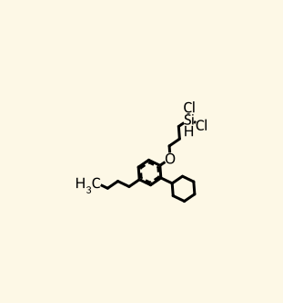 CCCCc1ccc(OCCC[SiH](Cl)Cl)c(C2CCCCC2)c1